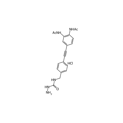 CC(=O)Nc1ccc(C#Cc2ccc(CNC(=O)NN)cc2)cc1NC(C)=O.Cl